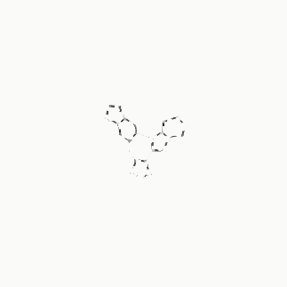 Nc1nonc1-c1nc2cnccc2n1-c1ccc2[nH]ncc2c1